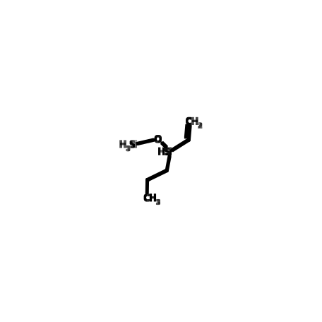 C=C[SiH](CCC)O[SiH3]